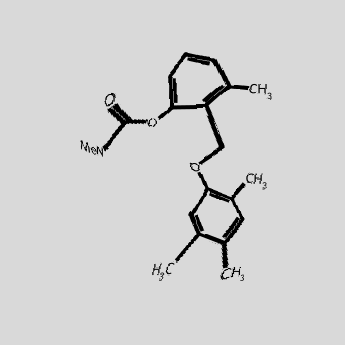 CNC(=O)Oc1cccc(C)c1COc1cc(C)c(C)cc1C